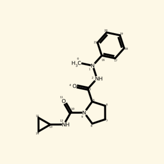 CN(NC(=O)C1CCCN1C(=O)NC1CC1)c1ccccc1